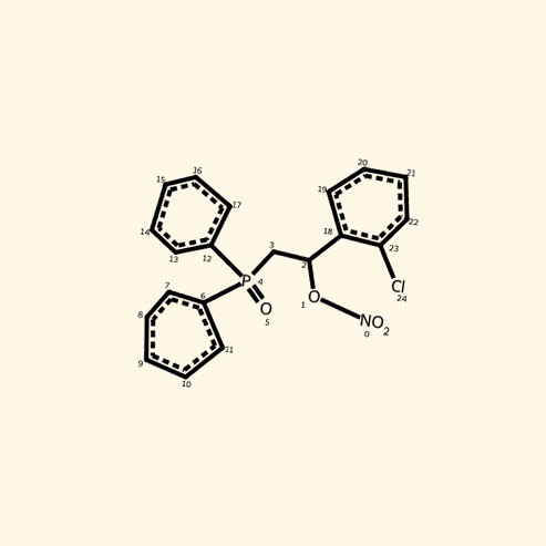 O=[N+]([O-])OC(CP(=O)(c1ccccc1)c1ccccc1)c1ccccc1Cl